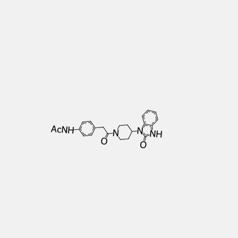 CC(=O)Nc1ccc(CC(=O)N2CCC(n3c(=O)[nH]c4ccccc43)CC2)cc1